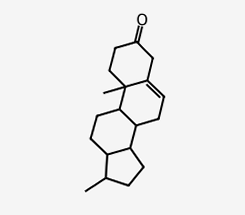 CC1CCC2C1CCC1C2CC=C2CC(=O)CCC21C